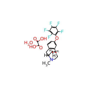 CN1CC[C@]23CCCC[C@H]2[C@H]1Cc1ccc(Oc2c(F)c(F)c(F)c(F)c2F)cc13.O.O=C(O)C(=O)O